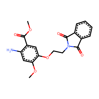 COC(=O)c1cc(OCCN2C(=O)c3ccccc3C2=O)c(OC)cc1N